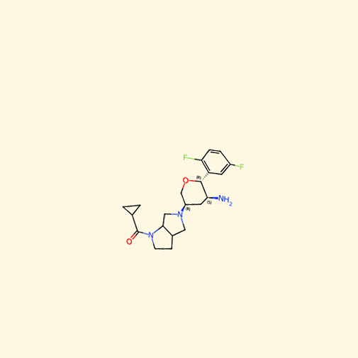 N[C@H]1C[C@@H](N2CC3CCN(C(=O)C4CC4)C3C2)CO[C@@H]1c1cc(F)ccc1F